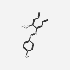 C=C/C=C(/N=N/c1ccc(O)cc1)C(=C/C=C)\C(=O)O